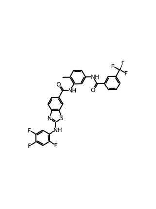 Cc1ccc(NC(=O)c2cccc(C(F)(F)F)c2)cc1NC(=O)c1ccc2nc(Nc3cc(F)c(F)cc3F)sc2c1